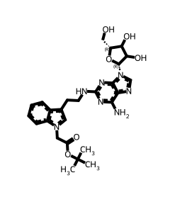 CC(C)(C)OC(=O)Cn1cc(CCNc2nc(N)c3ncn([C@@H]4O[C@H](CO)C(O)C4O)c3n2)c2ccccc21